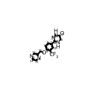 O=C1CNC(c2ccc(OCc3cnccn3)c(C(F)(F)F)c2)=NN1